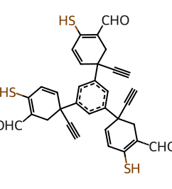 C#CC1(c2cc(C3(C#C)C=CC(S)=C(C=O)C3)cc(C3(C#C)C=CC(S)=C(C=O)C3)c2)C=CC(S)=C(C=O)C1